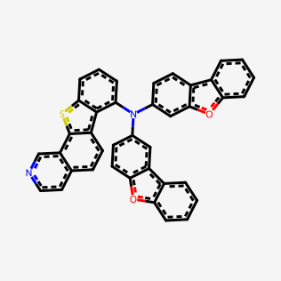 c1ccc2c(c1)oc1cc(N(c3ccc4oc5ccccc5c4c3)c3cccc4sc5c6cnccc6ccc5c34)ccc12